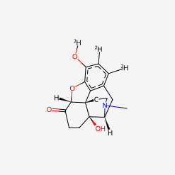 [2H]Oc1c([2H])c([2H])c2c3c1O[C@H]1C(=O)CC[C@@]4(O)[C@@H](C2)N(C)CC[C@]314